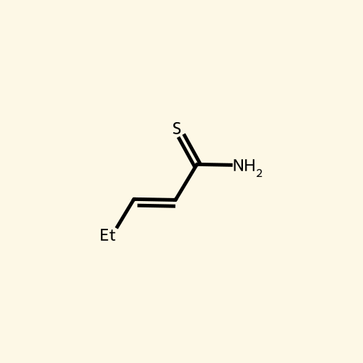 CC/C=C/C(N)=S